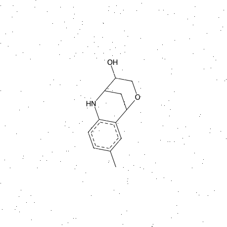 Cc1ccc2c(c1)C1CC(N2)C(O)CO1